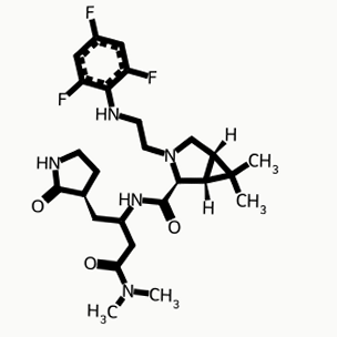 CN(C)C(=O)CC(C[C@@H]1CCNC1=O)NC(=O)[C@@H]1[C@@H]2[C@H](CN1CCNc1c(F)cc(F)cc1F)C2(C)C